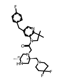 C[C@@H]1CN(CC(=O)N2CC(C)(C)c3ncc(Cc4ccc(F)cc4)cc32)[C@@H](CN2CCC(F)(F)CC2)CN1